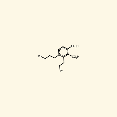 CC(C)CCCc1ccc(C(=O)O)c(C(=O)O)c1CCC(C)C